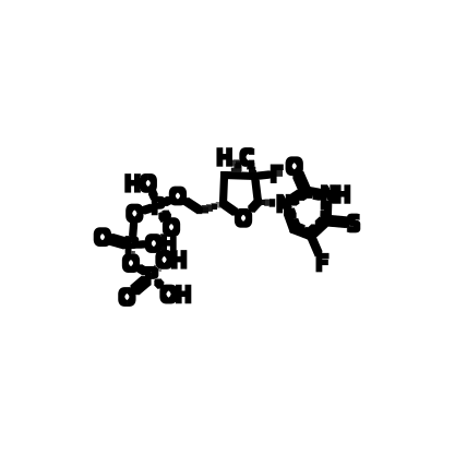 C[C@@]1(F)C[C@@H](COP(=O)(O)OP(=O)(O)OP(=O)(O)O)O[C@H]1n1cc(F)c(=S)[nH]c1=O